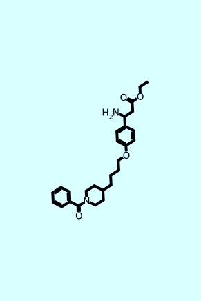 CCOC(=O)CC(N)c1ccc(OCCCCC2CCN(C(=O)c3ccccc3)CC2)cc1